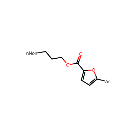 CCCCCCCCCCCCOC(=O)c1ccc(C(C)=O)o1